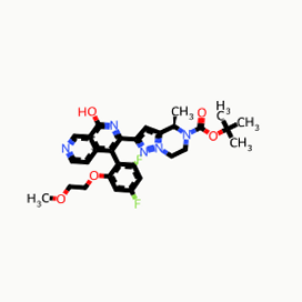 COCCOc1cc(F)cc(F)c1-c1c(-c2cc3n(n2)CCN(C(=O)OC(C)(C)C)[C@@H]3C)nc(O)c2cnccc12